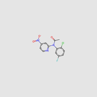 CC(=O)N(c1cc([N+](=O)[O-])ccn1)c1cc(F)ccc1Cl